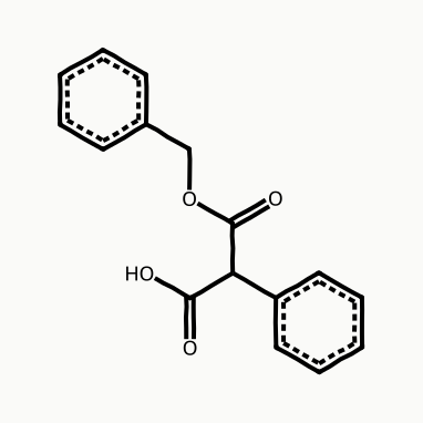 O=C(O)C(C(=O)OCc1ccccc1)c1ccccc1